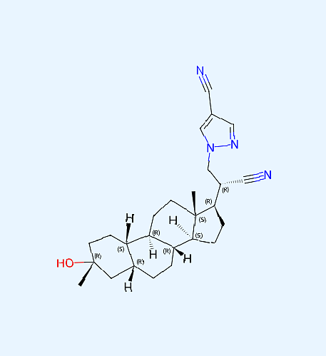 C[C@@]1(O)CC[C@H]2[C@H](CC[C@@H]3[C@@H]2CC[C@]2(C)[C@@H]([C@@H](C#N)Cn4cc(C#N)cn4)CC[C@@H]32)C1